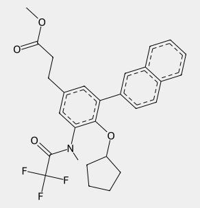 COC(=O)CCc1cc(-c2ccc3ccccc3c2)c(OC2CCCC2)c(N(C)C(=O)C(F)(F)F)c1